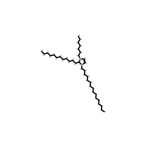 CCCCCCCCCCCCCCCCN1C=CN(CCCCCCC)C1CCCCCCCCCCCC